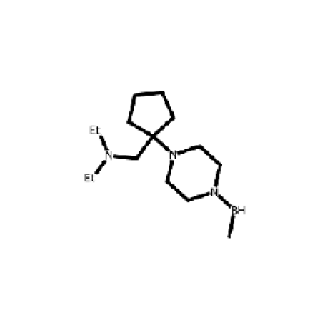 CBN1CCN(C2(CN(CC)CC)CCCC2)CC1